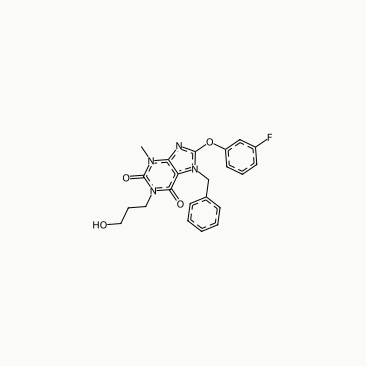 Cn1c(=O)n(CCCO)c(=O)c2c1nc(Oc1cccc(F)c1)n2Cc1ccccc1